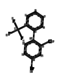 FC(F)(F)c1ccccc1-c1ccc(Br)cc1Cl